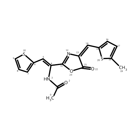 CC(=O)NC(=Cc1cccs1)C1=NC(=Cc2ccc(C)s2)C(=O)O1